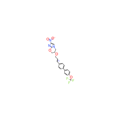 O=[N+]([O-])c1cn2c(n1)OCC(OC/C=C/c1ccc(-c3ccc(OC(F)(F)F)cc3)cc1)C2